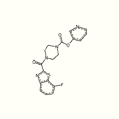 O=C(Oc1cccnc1)N1CCN(C(=O)c2nc3cccc(F)c3s2)CC1